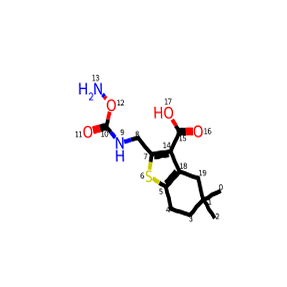 CC1(C)CCc2sc(CNC(=O)ON)c(C(=O)O)c2C1